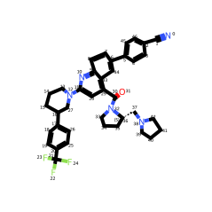 N#Cc1ccc(-c2ccc3nc(N4CCCC(c5ccc(C(F)(F)F)cc5)C4)cc(C(=O)N4CCC[C@H]4CN4CCCC4)c3c2)cc1